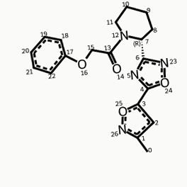 Cc1cc(-c2nc([C@H]3CCCCN3C(=O)COc3ccccc3)no2)on1